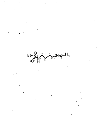 CC=NOCCCNS(=O)(=O)CC